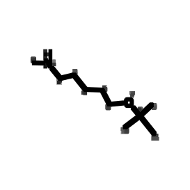 CNCCCCCOC(C)(C)C